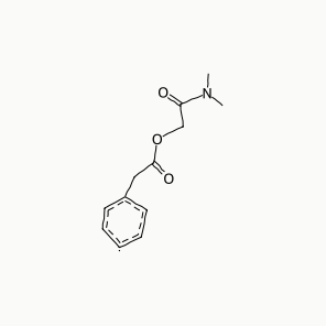 CN(C)C(=O)COC(=O)Cc1cc[c]cc1